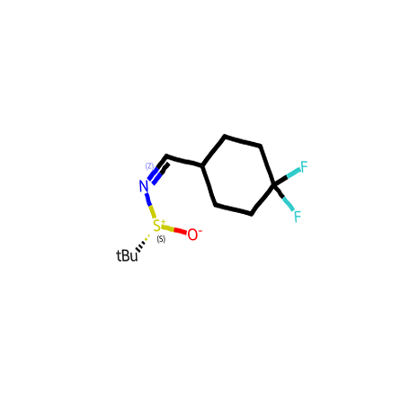 CC(C)(C)[S@@+]([O-])/N=C\C1CCC(F)(F)CC1